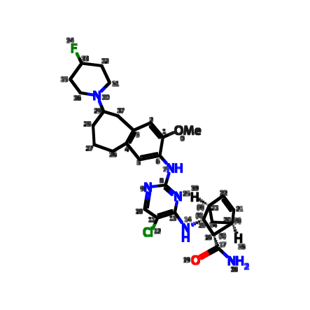 COc1cc2c(cc1Nc1ncc(Cl)c(N[C@H]3[C@@H](C(N)=O)[C@@H]4C=C[C@H]3C4)n1)CCCC(N1CCC(F)CC1)C2